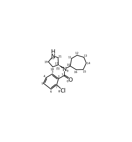 O=C(c1ccccc1Cl)N(C1CCCCCC1)[C@H]1CCNC1